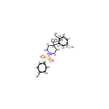 Cc1ccc(S(=O)(=O)N2CCC(C(=O)O)(c3cc(F)ccc3C)CC2)cc1